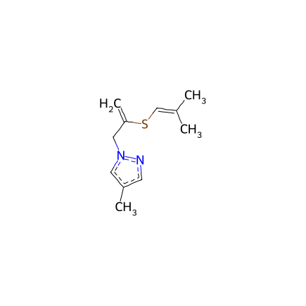 C=C(Cn1cc(C)cn1)SC=C(C)C